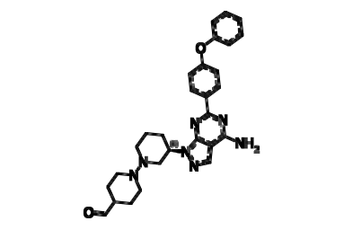 Nc1nc(-c2ccc(Oc3ccccc3)cc2)nc2c1cnn2[C@@H]1CCCN(N2CCC(C=O)CC2)C1